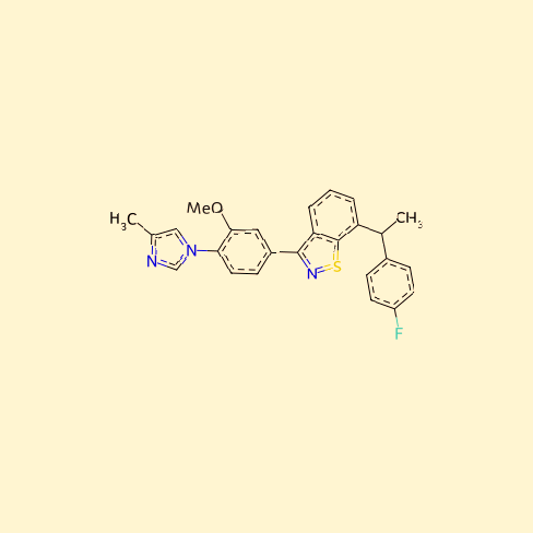 COc1cc(-c2nsc3c(C(C)c4ccc(F)cc4)cccc23)ccc1-n1cnc(C)c1